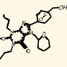 CCCn1c(=O)c2c(nc(C34CCC(CO)(CC3)CO4)n2C2CCCCO2)n(CCC)c1=O